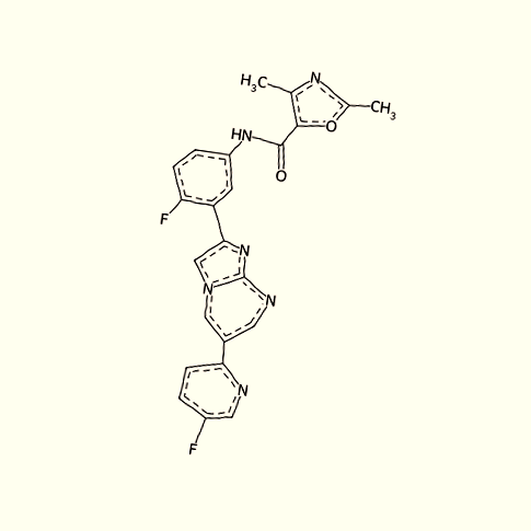 Cc1nc(C)c(C(=O)Nc2ccc(F)c(-c3cn4cc(-c5ccc(F)cn5)cnc4n3)c2)o1